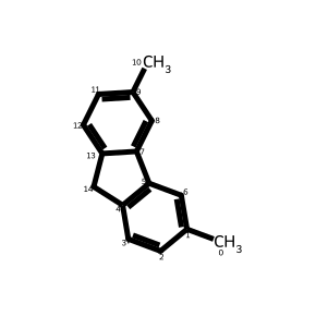 Cc1c[c]c2c(c1)-c1cc(C)ccc1C2